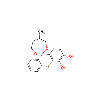 CC1CCOC2(OC1)c1ccccc1Sc1c2ccc(O)c1O